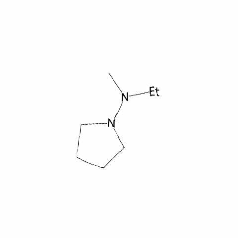 CCN(C)N1CCCC1